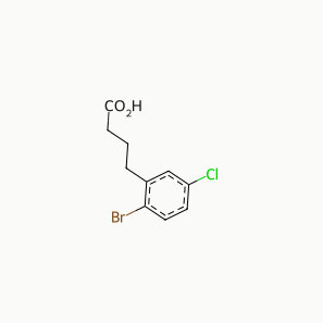 O=C(O)CCCc1cc(Cl)ccc1Br